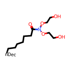 CCCCCCCCCCCCCCCCC(=O)N(OCCO)OCCO